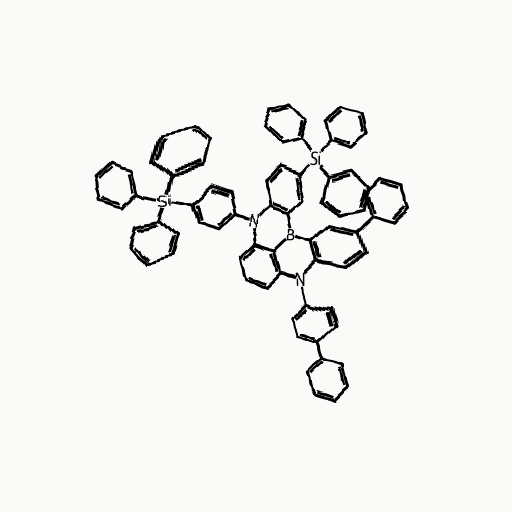 c1ccc(-c2ccc(N3c4ccc(-c5ccccc5)cc4B4c5cc([Si](c6ccccc6)(c6ccccc6)c6ccccc6)ccc5N(c5ccc([Si](c6ccccc6)(c6ccccc6)c6ccccc6)cc5)c5cccc3c54)cc2)cc1